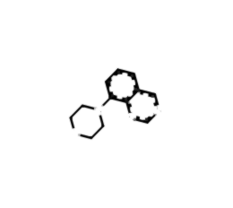 c1cc(N2CCOCC2)c2ncncc2c1